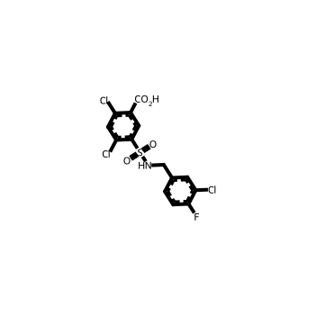 O=C(O)c1cc(S(=O)(=O)NCc2ccc(F)c(Cl)c2)c(Cl)cc1Cl